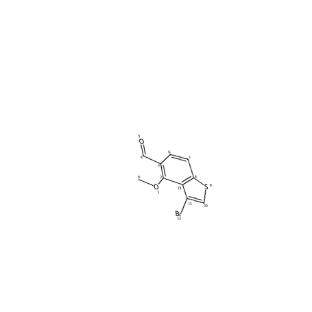 COc1c(C=O)ccc2scc(Br)c12